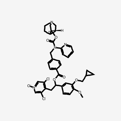 COc1ccc(C(Cc2c(Cl)c[n+]([O-])cc2Cl)OC(=O)c2ccc(CN(C(=O)O[C@H]3CN4CCC3CC4)c3ccccn3)cc2)cc1OCC1CC1